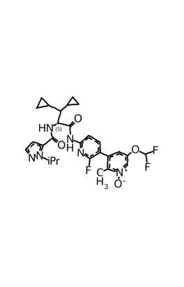 Cc1c(-c2ccc(NC(=O)[C@@H](NC(=O)c3ccnn3C(C)C)C(C3CC3)C3CC3)nc2F)cc(OC(F)F)c[n+]1[O-]